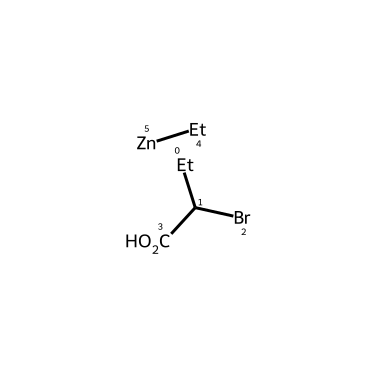 CCC(Br)C(=O)O.C[CH2][Zn]